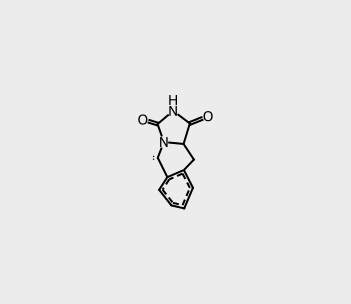 O=C1NC(=O)N2[C]c3ccccc3CC12